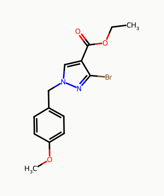 CCOC(=O)c1cn(Cc2ccc(OC)cc2)nc1Br